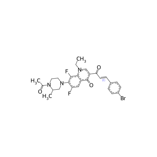 CCn1cc(C(=O)/C=C/c2ccc(Br)cc2)c(=O)c2cc(F)c(N3CCN(C(C)=O)C(C)C3)c(F)c21